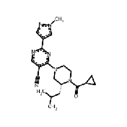 CC(C)C[C@@H]1CN(c2nc(-c3cnn(C)c3)ncc2C#N)CCN1C(=O)C1CC1